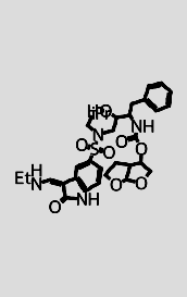 CCNC=C1C(=O)Nc2ccc(S(=O)(=O)N(CC(C)C)CC(O)C(Cc3ccccc3)NC(=O)OC3COC4OCCC34)cc21